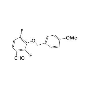 COc1ccc(COc2c(F)ccc(C=O)c2F)cc1